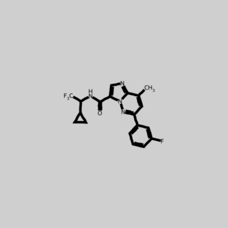 Cc1cc(-c2cccc(F)c2)nn2c(C(=O)NC(C3CC3)C(F)(F)F)cnc12